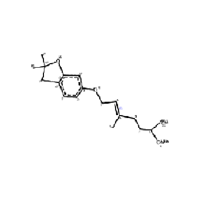 COC(CC/C(C)=C/COc1ccc2c(c1)OC(C)(C)C2)C(C)(C)C